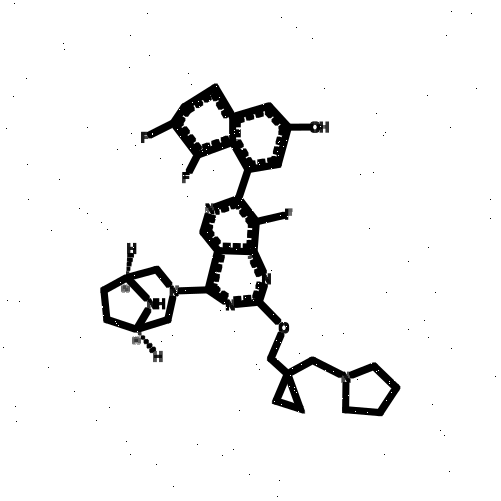 Oc1cc(-c2ncc3c(N4C[C@H]5CC[C@@H](C4)N5)nc(OCC4(CN5CCCC5)CC4)nc3c2F)c2c(F)c(F)ccc2c1